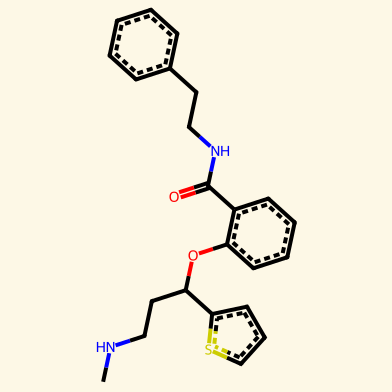 CNCCC(Oc1ccccc1C(=O)NCCc1ccccc1)c1cccs1